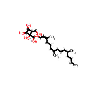 CC(=CCOC(O)C1(O)C(O)C(O)C1CO)CCCC(C)CCCC(C)CCCC(C)C